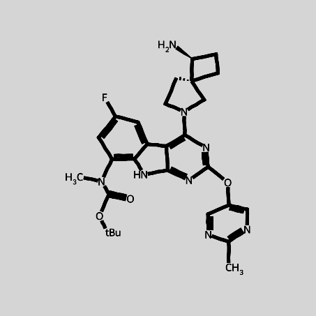 Cc1ncc(Oc2nc(N3CC[C@]4(CC[C@@H]4N)C3)c3c(n2)[nH]c2c(N(C)C(=O)OC(C)(C)C)cc(F)cc23)cn1